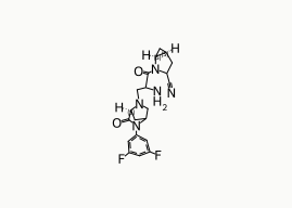 N#CC1C[C@@H]2C[C@@H]2N1C(=O)C(N)CN1CC2C[C@H]1C(=O)N2c1cc(F)cc(F)c1